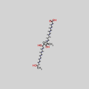 CC(O)C/C=C/C=C/C=C/C=C/C=C/C(O)C(C)C(O)C(C)/C=C/CC/C=C/C=C/C=C/C=C/C(=O)O